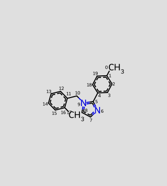 Cc1ccc(-c2nccn2Cc2ccccc2C)cc1